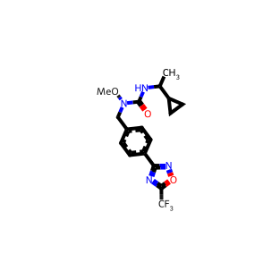 CON(Cc1ccc(-c2noc(C(F)(F)F)n2)cc1)C(=O)NC(C)C1CC1